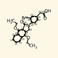 CCOc1c2c(c(OCC)c3ccccc13)C(=O)N(c1ccc(CC(=O)O)cc1Br)C2